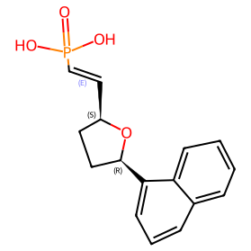 O=P(O)(O)/C=C/[C@@H]1CC[C@H](c2cccc3ccccc23)O1